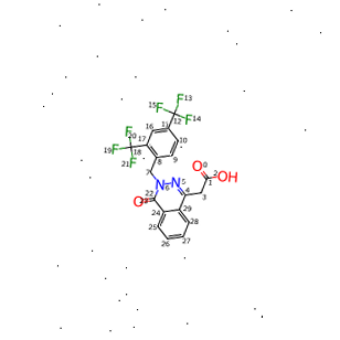 O=C(O)Cc1nn(Cc2ccc(C(F)(F)F)cc2C(F)(F)F)c(=O)c2ccccc12